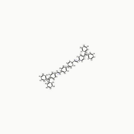 C1=CC(/C=C/c2ccc(N(c3ccccc3)c3ccccc3)cc2)CC=C1c1ccc(/C=C/c2ccc(N(c3ccccc3)c3ccccc3)cc2)cc1